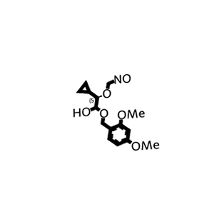 COc1ccc(COC(O)[C@@H](OCN=O)C2CC2)c(OC)c1